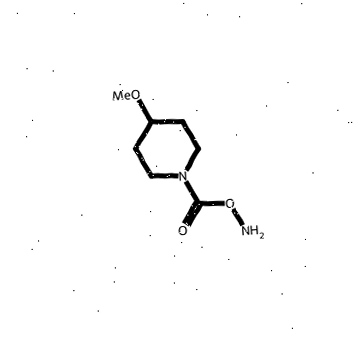 COC1CCN(C(=O)ON)CC1